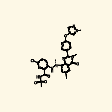 Cc1cc([C@@H](C)Nc2ccc(Cl)nc2C(=O)NS(C)(=O)=O)c2nc(-c3ccc(Oc4cnn(C)c4)nc3)n(C)c(=O)c2c1